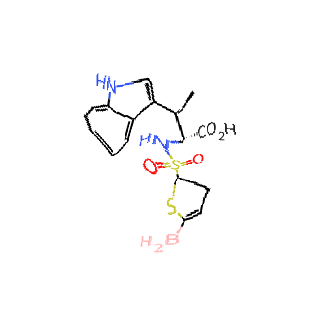 BC1=CCC(S(=O)(=O)N[C@@H](C(=O)O)[C@H](C)c2c[nH]c3ccccc23)S1